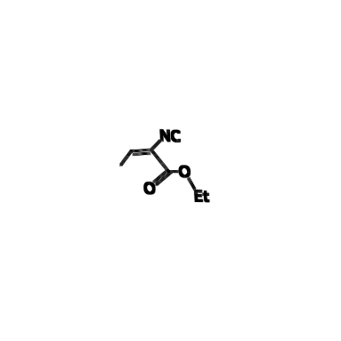 [C-]#[N+]C(=CC)C(=O)OCC